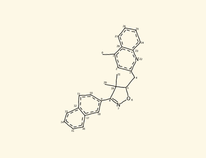 Cc1cc(CC2ON=C(c3ccc4ccccc4c3)C2(C)C)nc2ccccc12